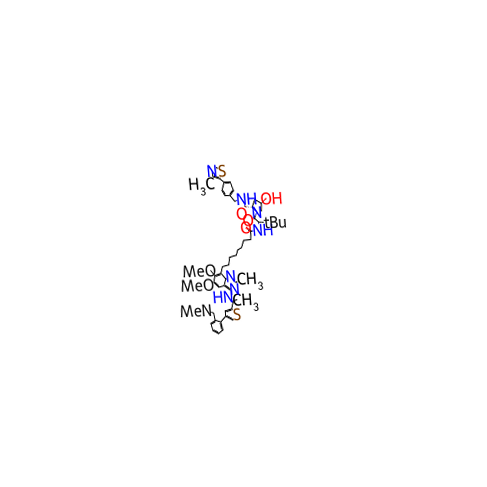 CNCc1ccccc1-c1csc(C(C)Nc2nc(C)nc3c(CCCCCCCCC(=O)NC(C(=O)N4C[C@H](O)C[C@H]4C(=O)NCc4ccc(-c5scnc5C)cc4)C(C)(C)C)c(OC)c(OC)cc23)c1